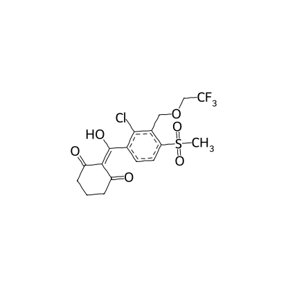 CS(=O)(=O)c1ccc(C(O)=C2C(=O)CCCC2=O)c(Cl)c1COCC(F)(F)F